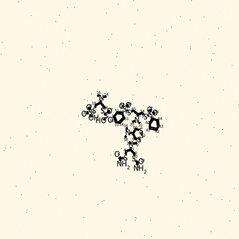 CN(C)C(CSC(N)=O)CSC(N)=O.CN(C)C(CSS(=O)(=O)O)CSS(=O)(=O)O.CN(C)C(CSS(=O)(=O)c1ccccc1)CSS(=O)(=O)c1ccccc1.CN(C)C1CSSSC1